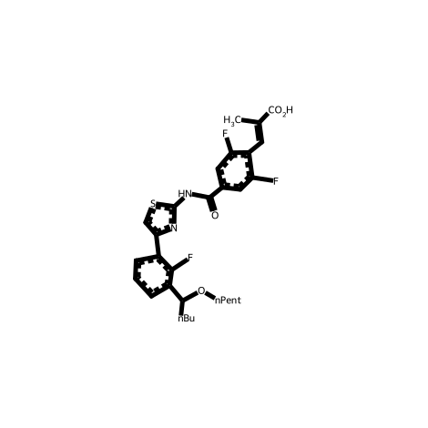 CCCCCOC(CCCC)c1cccc(-c2csc(NC(=O)c3cc(F)c(/C=C(\C)C(=O)O)c(F)c3)n2)c1F